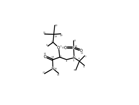 CC(OC(CN(C(C)(C)C)S(C)(=O)=O)C(=O)N(C)C)C(C)(C)C